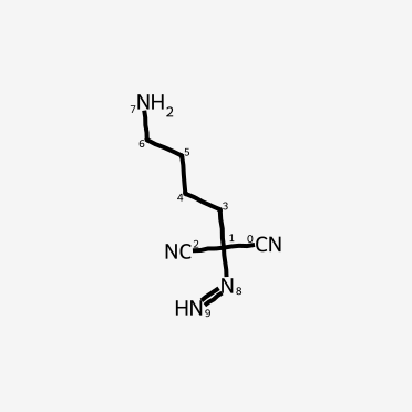 N#CC(C#N)(CCCCN)N=N